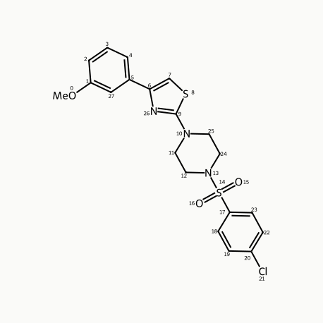 COc1cccc(-c2csc(N3CCN(S(=O)(=O)c4ccc(Cl)cc4)CC3)n2)c1